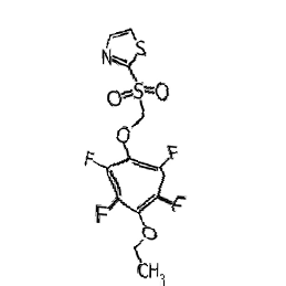 CCOc1c(F)c(F)c(OCS(=O)(=O)c2nccs2)c(F)c1F